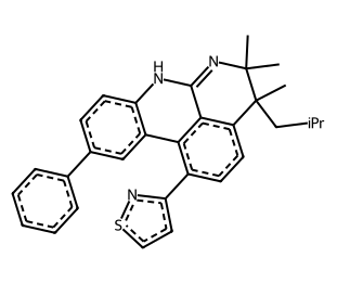 CC(C)CC1(C)c2ccc(-c3ccsn3)c3c2C(=NC1(C)C)Nc1ccc(-c2ccccc2)cc1-3